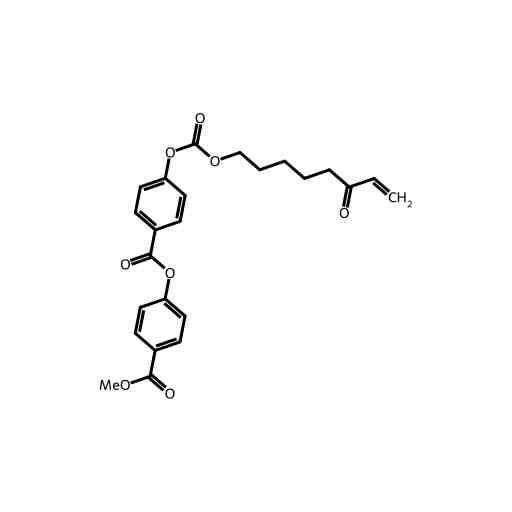 C=CC(=O)CCCCCOC(=O)Oc1ccc(C(=O)Oc2ccc(C(=O)OC)cc2)cc1